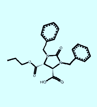 CCCOC(=O)[C@H]1[C@@H](C(=O)O)N(Cc2ccccc2)C(=O)N1Cc1ccccc1